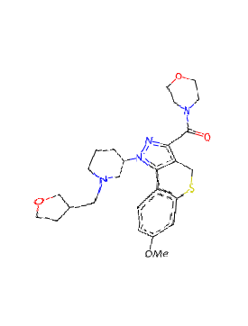 COc1ccc2c(c1)SCc1c(C(=O)N3CCOCC3)nn(C3CCCN(CC4CCOC4)C3)c1-2